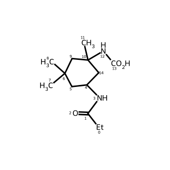 CCC(=O)NC1CC(C)(C)CC(C)(NC(=O)O)C1